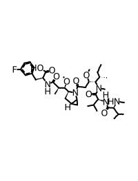 CC[C@H](C)[C@@H](C(CC(=O)N1C2C[C@H]2C[C@H]1[C@H](OC)[C@@H](C)C(=O)N[C@@H](Cc1cccc(F)c1)C(=O)O)OC)N(C)C(=O)[C@@H](NC(=O)[C@@H](NC)C(C)C)C(C)C